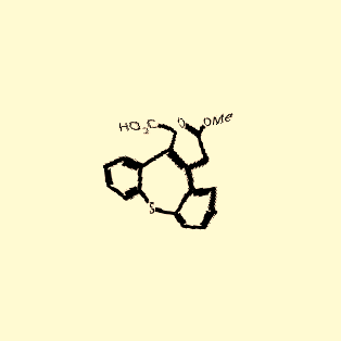 COC(=O)CC1=C(CC(=O)O)c2ccccc2Sc2ccccc21